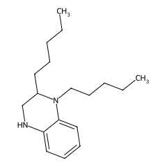 CCCCCC1CNc2ccccc2N1CCCCC